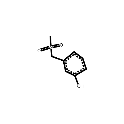 CS(=O)(=O)Cc1cccc(O)c1